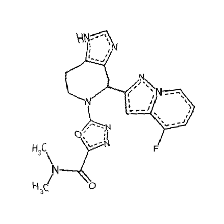 CN(C)C(=O)c1nnc(N2CCc3[nH]cnc3C2c2cc3c(F)cccn3n2)o1